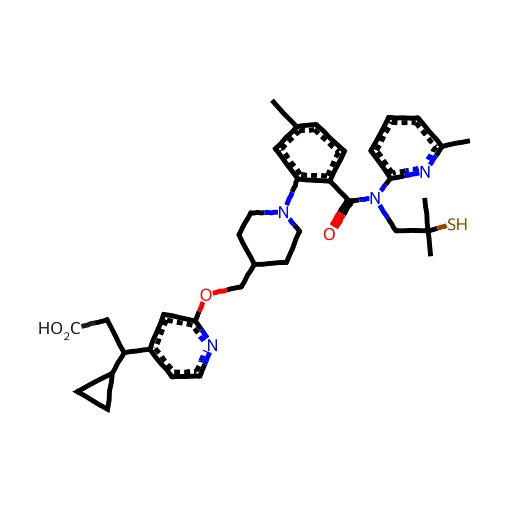 Cc1ccc(C(=O)N(CC(C)(C)S)c2cccc(C)n2)c(N2CCC(COc3cc(C(CC(=O)O)C4CC4)ccn3)CC2)c1